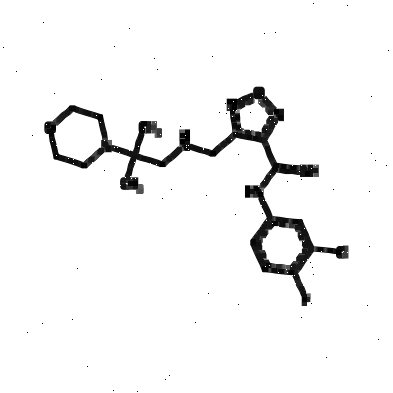 CC(C)(CNCc1nonc1C(=N)Nc1ccc(F)c(Cl)c1)N1CCOCC1